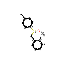 Cc1ccc([S+]([O-])Cc2ccccc2C#N)cc1